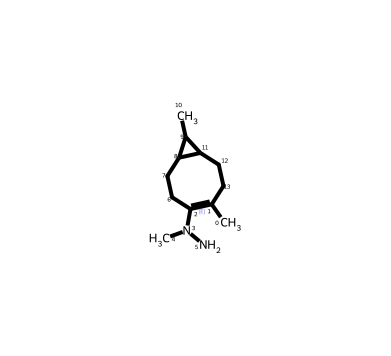 C/C1=C(\N(C)N)CCC2C(C)C2CC1